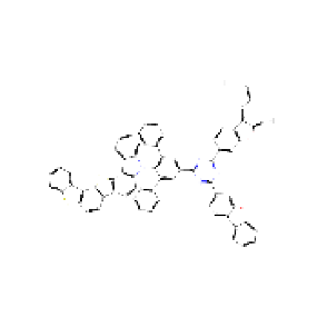 C=c1oc2cc(-c3nc(-c4cc(-c5ccccc5)c(-n5c6ccccc6c6c7sc8c(ccc9sc%10ccccc%10c98)c7ccc65)c(-c5ccccc5)c4)nc(-c4ccc5c(c4)oc4ccccc45)n3)ccc2/c1=C/C=C\C